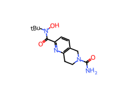 CC(C)(C)N(O)C(=O)c1ccc2c(n1)CCN(C(N)=O)C2